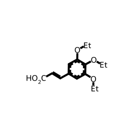 CCOc1cc(/C=C/C(=O)O)cc(OCC)c1OCC